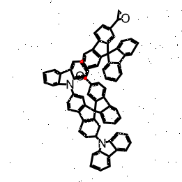 O=C(c1ccc2c(c1)C1(C3=C(C=CC(n4c5ccccc5c5ccccc54)C3)c3ccc(-n4c5ccccc5c5ccccc54)cc31)c1ccccc1-2)c1ccc2c(c1)C1(c3ccccc3-c3ccccc31)c1cc(C3CO3)ccc1-2